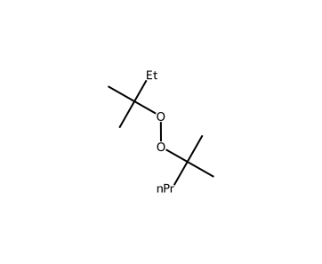 C[CH]CC(C)(C)OOC(C)(C)CC